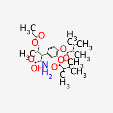 CCC(=O)OCC(C)C(c1ccc(OC(=O)C(C)C(C)C)c(OC(=O)C(C)C(C)C)c1)[C@H](N)C(=O)O